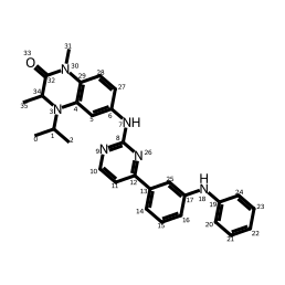 CC(C)N1c2cc(Nc3nccc(-c4cccc(Nc5ccccc5)c4)n3)ccc2N(C)C(=O)C1C